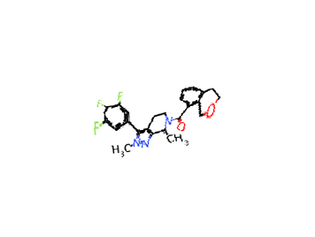 C[C@H]1c2nn(C)c(-c3cc(F)c(F)c(F)c3)c2CCN1C(=O)c1cccc2c1COCC2